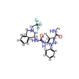 CNC(=O)c1nn(-c2ccccc2)c(NC(=O)NC2CN(CC(F)(F)F)Cc3ccccc32)c1C